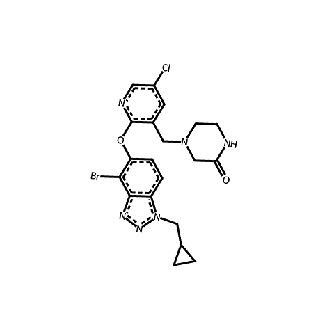 O=C1CN(Cc2cc(Cl)cnc2Oc2ccc3c(nnn3CC3CC3)c2Br)CCN1